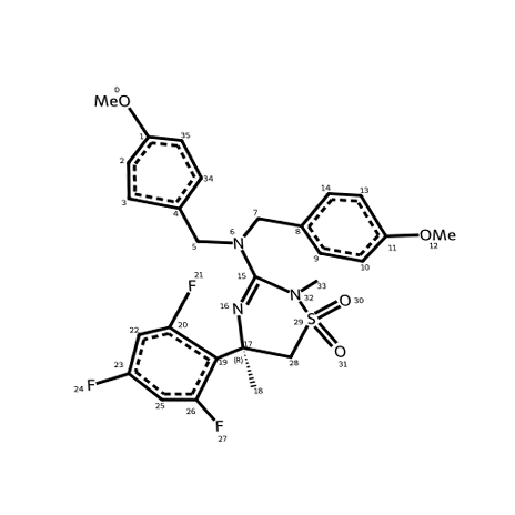 COc1ccc(CN(Cc2ccc(OC)cc2)C2=N[C@](C)(c3c(F)cc(F)cc3F)CS(=O)(=O)N2C)cc1